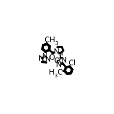 Cc1ccc(-n2nccn2)c(C(=O)N2CCC[C@H]2c2nc(-c3c(C)cccc3Cl)no2)c1